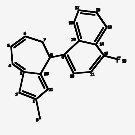 CC1=CC2=CC=CCC(c3ccc(F)c4ccccc34)C2=C1